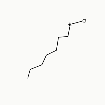 CCCCCCC[B]Cl